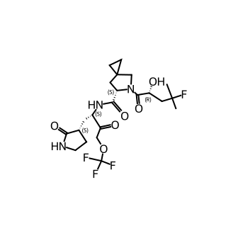 CC(C)(F)C[C@@H](O)C(=O)N1CC2(CC2)C[C@H]1C(=O)N[C@@H](C[C@@H]1CCNC1=O)C(=O)COC(F)(F)F